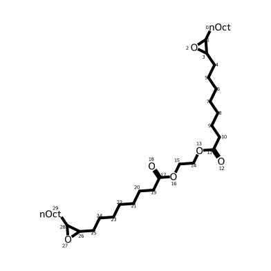 CCCCCCCCC1OC1CCCCCCCC(=O)OCCOC(=O)CCCCCCCC1OC1CCCCCCCC